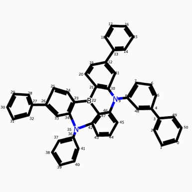 c1ccc(-c2cccc(N3c4cc(-c5ccccc5)ccc4B4c5ccc(-c6ccccc6)cc5N(c5ccccc5)c5cccc3c54)c2)cc1